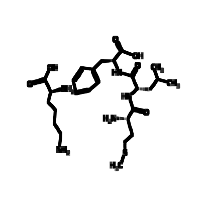 CSCC[C@H](N)C(=O)N[C@@H](CC(C)C)C(=O)N[C@@H](Cc1ccccc1)C(=O)O.NCCCC[C@H](N)C(=O)O